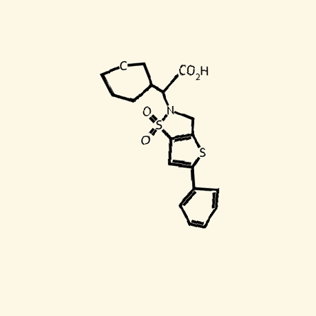 O=C(O)C(C1CCCCC1)N1Cc2sc(-c3ccccc3)cc2S1(=O)=O